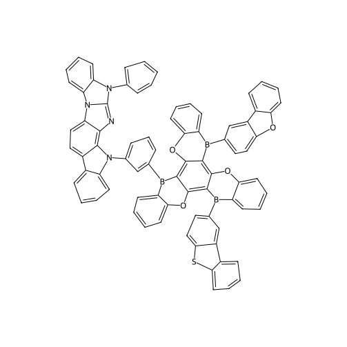 c1ccc(-n2c3ccccc3n3c4ccc5c6ccccc6n(-c6cccc(B7c8ccccc8Oc8c7c7c(c9c8B(c8ccc%10sc%11ccccc%11c%10c8)c8ccccc8O9)B(c8ccc9oc%10ccccc%10c9c8)c8ccccc8O7)c6)c5c4nc23)cc1